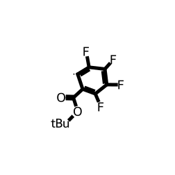 CC(C)(C)OC(=O)c1[c]c(F)c(F)c(F)c1F